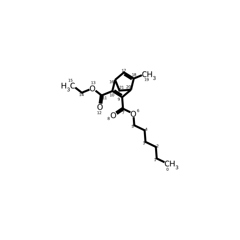 CCCCCCOC(=O)C1=C(C(=O)OCC)C2C=C(C)C1C2